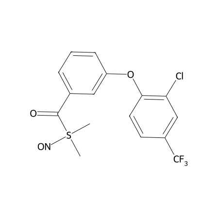 CS(C)(N=O)C(=O)c1cccc(Oc2ccc(C(F)(F)F)cc2Cl)c1